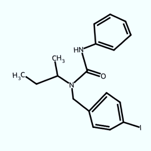 CCC(C)N(Cc1ccc(I)cc1)C(=O)Nc1ccccc1